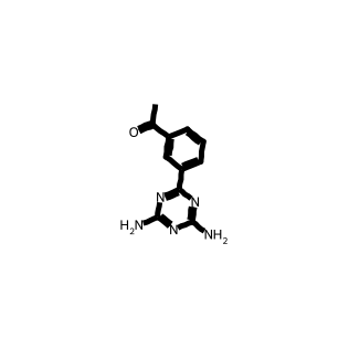 CC(=O)c1cccc(-c2nc(N)nc(N)n2)c1